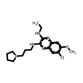 CCNc1nc2cc(OC)c(Cl)cc2nc1NCCCN1CCCC1